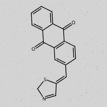 O=C1c2ccccc2C(=O)c2cc(C=C3C=NCS3)ccc21